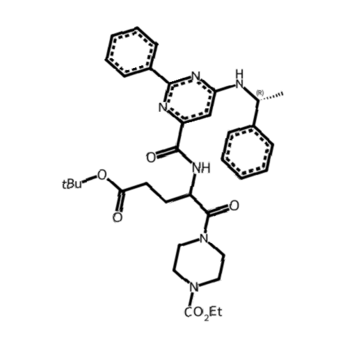 CCOC(=O)N1CCN(C(=O)C(CCC(=O)OC(C)(C)C)NC(=O)c2cc(N[C@H](C)c3ccccc3)nc(-c3ccccc3)n2)CC1